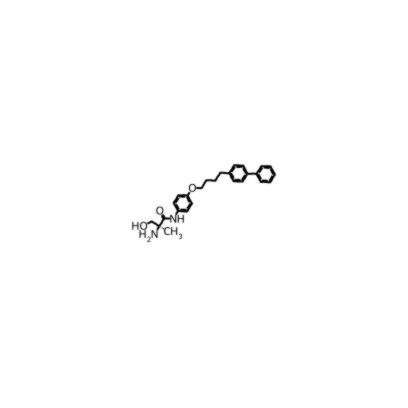 C[C@](N)(CO)C(=O)Nc1ccc(OCCCCc2ccc(-c3ccccc3)cc2)cc1